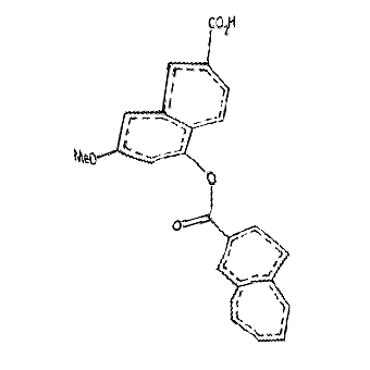 COc1cc(OC(=O)c2ccc3ccccc3c2)c2ccc(C(=O)O)cc2c1